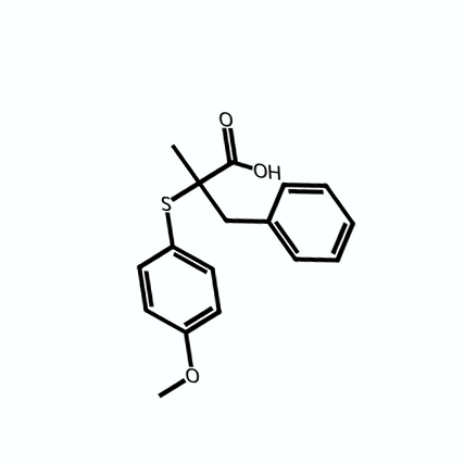 COc1ccc(SC(C)(Cc2ccccc2)C(=O)O)cc1